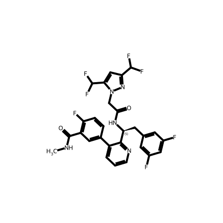 CNC(=O)c1cc(-c2cccnc2[C@H](Cc2cc(F)cc(F)c2)NC(=O)Cn2nc(C(F)F)cc2C(F)F)ccc1F